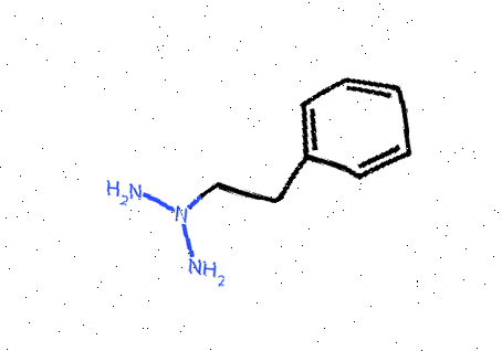 NN(N)CCc1ccccc1